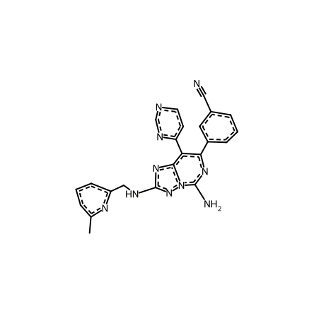 Cc1cccc(CNc2nc3c(-c4ccncn4)c(-c4cccc(C#N)c4)nc(N)n3n2)n1